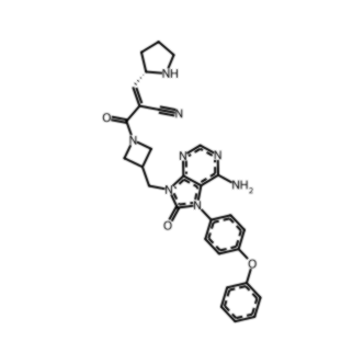 N#CC(=C[C@@H]1CCCN1)C(=O)N1CC(Cn2c(=O)n(-c3ccc(Oc4ccccc4)cc3)c3c(N)ncnc32)C1